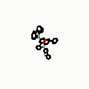 c1ccc(-c2cccc(N(c3ccc4c(c3)sc3ccccc34)c3ccccc3-c3cccc(-n4c5ccccc5c5ccccc54)c3)c2)cc1